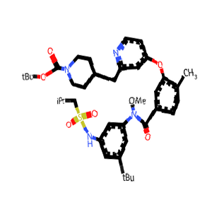 CON(C(=O)c1ccc(C)c(Oc2ccnc(CC3CCN(C(=O)OC(C)(C)C)CC3)c2)c1)c1cc(NS(=O)(=O)CC(C)C)cc(C(C)(C)C)c1